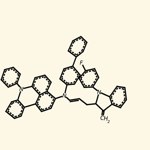 C=C1c2ccccc2N(c2ccc(F)cc2)C1C/C=C/N(c1ccc(-c2ccccc2)cc1)c1ccc2c3c(cccc13)N(c1ccccc1)c1ccccc1-2